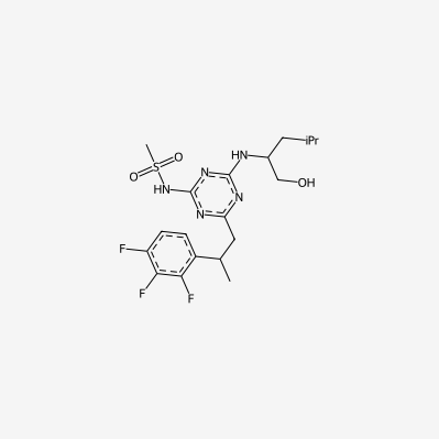 CC(C)CC(CO)Nc1nc(CC(C)c2ccc(F)c(F)c2F)nc(NS(C)(=O)=O)n1